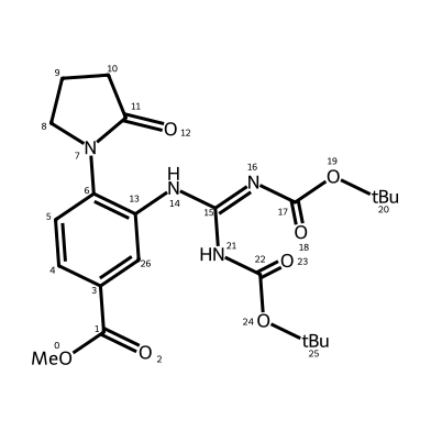 COC(=O)c1ccc(N2CCCC2=O)c(N/C(=N/C(=O)OC(C)(C)C)NC(=O)OC(C)(C)C)c1